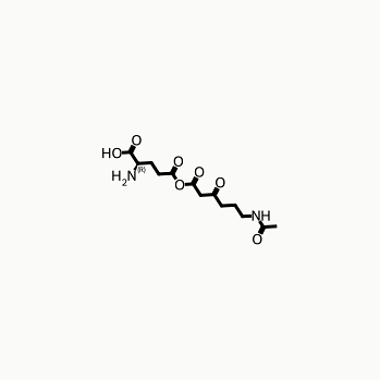 CC(=O)NCCCC(=O)CC(=O)OC(=O)CC[C@@H](N)C(=O)O